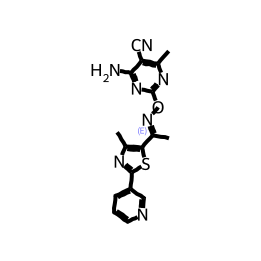 C/C(=N\Oc1nc(C)c(C#N)c(N)n1)c1sc(-c2cccnc2)nc1C